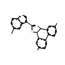 O=Nc1ccc2c(c1)C1N=C(c3c[nH]c4ccc(Br)cc34)NC1c1cc(N=O)ccc1-2